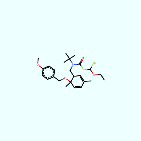 CCOC(S)SC(=O)N(CC1C=C(Cl)C=CC1(C)OCc1ccc(OC)cc1)C(C)(C)C